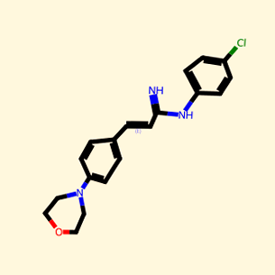 N=C(/C=C/c1ccc(N2CCOCC2)cc1)Nc1ccc(Cl)cc1